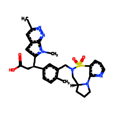 Cc1cc2cc([C@H](CC(=O)O)c3ccc(C)c(CN4C[C@H]5CCCN5c5ncccc5S4(=O)=O)c3)n(C)c2nn1